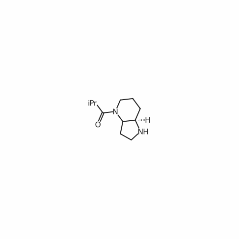 CC(C)C(=O)N1CCC[C@H]2NCCC21